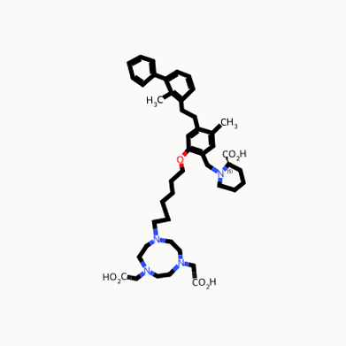 Cc1cc(CN2CCCC[C@H]2C(=O)O)c(OCCCCCCN2CCN(CC(=O)O)CCN(CC(=O)O)CC2)cc1CCc1cccc(-c2ccccc2)c1C